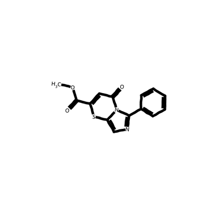 COC(=O)c1cc(=O)n2c(-c3ccccc3)ncc2s1